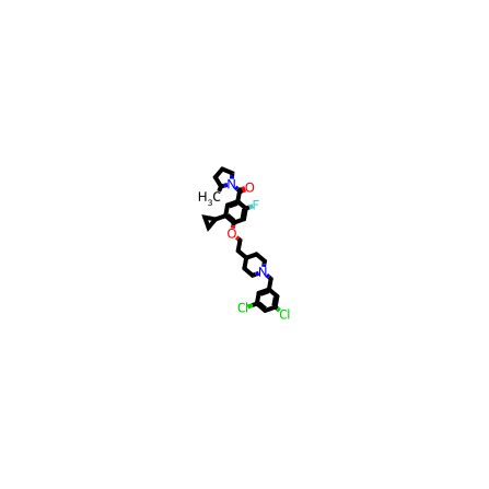 CC1CCCN1C(=O)c1cc(C2CC2)c(OCCC2CCN(Cc3cc(Cl)cc(Cl)c3)CC2)cc1F